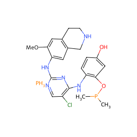 COc1cc2c(cc1Nc1ncc(Cl)c(Nc3ccc(O)cc3OP(C)C)n1)CNCC2.P